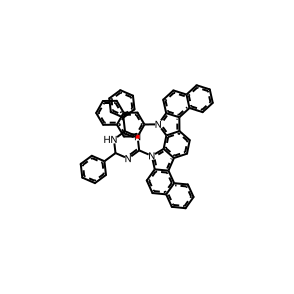 c1ccc(C2=NC(n3c4ccc5ccccc5c4c4ccc5c6c7ccccc7ccc6n(-c6ccc7ccccc7c6)c5c43)=NC(c3ccccc3)N2)cc1